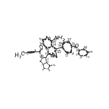 CC#CC(=O)N1CC2CCCC2C1c1nc(-c2ccc(Oc3ccccc3)cc2)c2c(N)nccn12